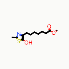 COC(=O)CCCCCCc1nc(C)sc1O